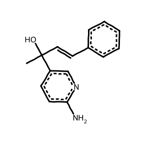 CC(O)(/C=C/c1ccccc1)c1ccc(N)nc1